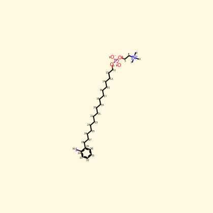 C[N+](C)(C)CCOP(=O)([O-])OCCCCCCCCCCCCCCCCCCc1ccccc1I